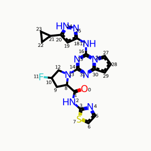 O=C(Nc1nccs1)C1CC(F)CN1c1nc(Nc2cc(C3CC3)[nH]n2)n2cccc2n1